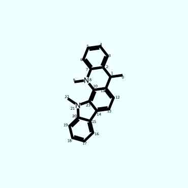 CC1c2ccccc2N(C)c2c1ccc1c3ccccc3n(C)c21